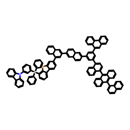 C1=CC2C=C(C3=CC4C=CC(c5cc(-c6ccc(-c7c8ccccc8c(-c8cccc9ccccc89)c8ccccc78)c7ccccc67)cc(-c6cc7ccccc7c7ccccc67)c5)=CC4C=C3)C=C(c3ccc4c(c3)sc3c([Si](c5ccccc5)(c5ccccc5)c5cccc(-n6c7ccccc7c7ccccc76)c5)cccc34)C2C=C1